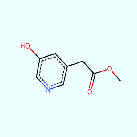 COC(=O)Cc1cncc(O)c1